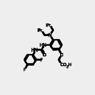 CC(C)CN(CC(C)C)c1ccc(OCC(=O)O)cc1NC(=O)Nc1ccc(F)cc1F